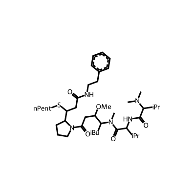 CCCCCSC(CC(=O)NCCc1ccccc1)C1CCCN1C(=O)CC(OC)C(C(C)CC)N(C)C(=O)C(NC(=O)C(C(C)C)N(C)C)C(C)C